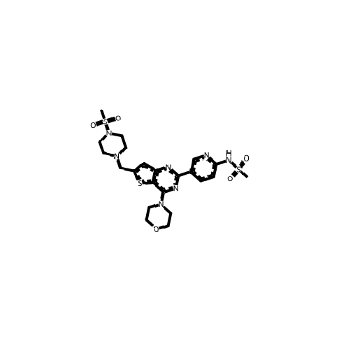 CS(=O)(=O)Nc1ccc(-c2nc(N3CCOCC3)c3sc(CN4CCN(S(C)(=O)=O)CC4)cc3n2)cn1